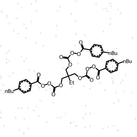 CCCCc1ccc(C(=O)OOC(=O)OCC(CC)(COC(=O)OOC(=O)c2ccc(CCCC)cc2)COC(=O)OOC(=O)c2ccc(CCCC)cc2)cc1